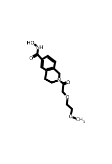 COCCOCC(=O)N1CCc2cc(C(=O)NO)ccc2C1